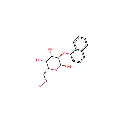 O[C@@H]1[C@H](O)[C@@H](Oc2cccc3ccccc23)[C@@H](O)O[C@@H]1COBr